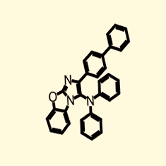 c1ccc(-c2ccc(-c3nc4oc5ccccc5n4c3N(c3ccccc3)c3ccccc3)cc2)cc1